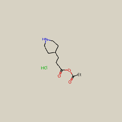 CCC(=O)OC(=O)CCC1CCNCC1.Cl